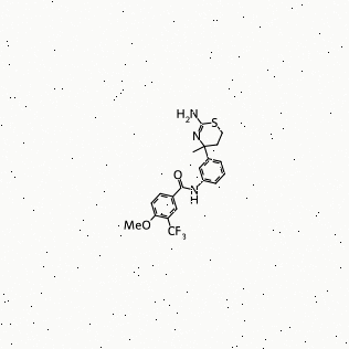 COc1ccc(C(=O)Nc2cccc(C3(C)CCSC(N)=N3)c2)cc1C(F)(F)F